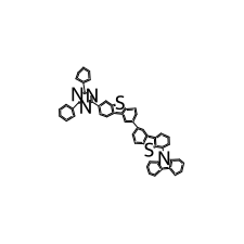 c1ccc(-c2nc(-c3ccccc3)nc(-c3ccc4c(c3)sc3ccc(-c5ccc6sc7c(-n8c9ccccc9c9ccccc98)cccc7c6c5)cc34)n2)cc1